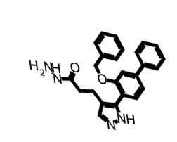 NNC(=O)CCc1cn[nH]c1-c1ccc(-c2ccccc2)cc1OCc1ccccc1